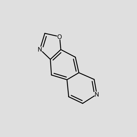 c1cc2cc3ncoc3cc2cn1